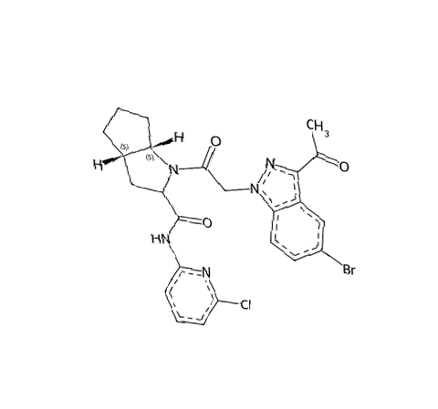 CC(=O)c1nn(CC(=O)N2C(C(=O)Nc3cccc(Cl)n3)C[C@@H]3CCC[C@@H]32)c2ccc(Br)cc12